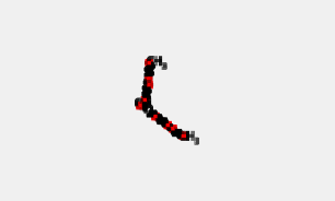 CCCCCCCCCCCCCCOC[C@@H](CO)OCCCCCCCCCCCCCC